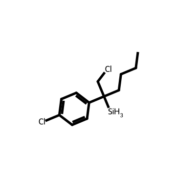 CCCCC([SiH3])(CCl)c1ccc(Cl)cc1